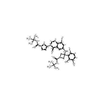 CC(C)(C)OC(=O)N1CC(Nc2cc(F)c3ncn(-c4ccn(C(=O)OC(C)(C)C)n4)c(=O)c3c2)(c2c(F)ccc(Cl)c2Cl)C1